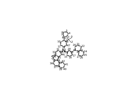 CC1(C)c2ccccc2-c2ccc(N(c3cccc(-c4cccc5ccccc45)c3)c3ccc4sc5ccc6ccccc6c5c4c3)cc21